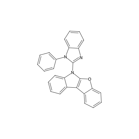 c1ccc(-n2c(-n3c4ccccc4c4c5ccccc5oc43)nc3ccccc32)cc1